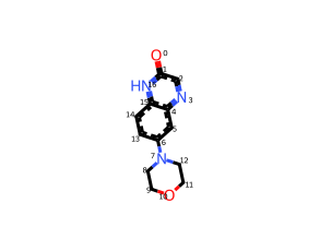 O=c1cnc2cc(N3CCOCC3)ccc2[nH]1